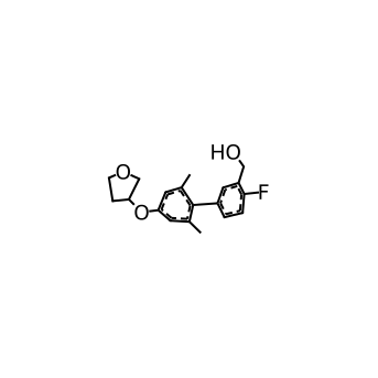 Cc1cc(OC2CCOC2)cc(C)c1-c1ccc(F)c(CO)c1